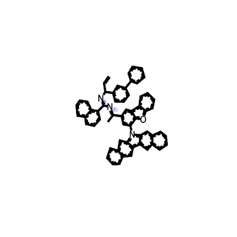 C=CC(/N=C(\N=C(/C)c1cc(-n2c3cc4ccccc4cc3c3cc4ccccc4cc32)c2oc3ccccc3c2c1)c1cccc2ccccc12)c1cccc(-c2ccccc2)c1